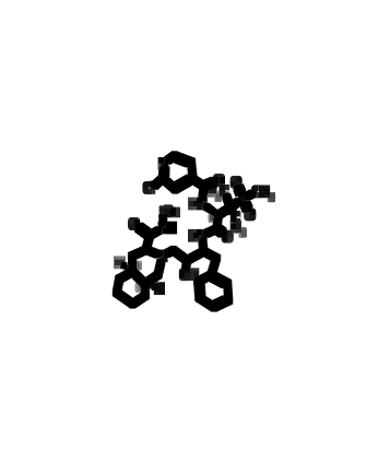 CC(C)(C)NC(=O)C1C[C@@H]2CCCC[C@@H]2CN1CC(O)C(Cc1ccccc1)NC(=O)[C@@H](NC(=O)c1ccnc(Cl)c1)C(C)(C)S(C)(=O)=O